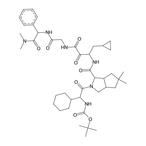 CN(C)C(=O)C(NC(=O)CNC(=O)C(=O)C(CC1CC1)NC(=O)C1C2CC(C)(C)CC2CN1C(=O)C(NC(=O)OC(C)(C)C)C1CCCCC1)c1ccccc1